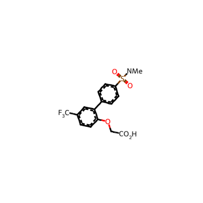 CNS(=O)(=O)c1ccc(-c2cc(C(F)(F)F)ccc2OCC(=O)O)cc1